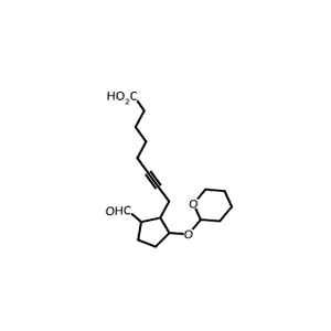 O=CC1CCC(OC2CCCCO2)C1CC#CCCCCC(=O)O